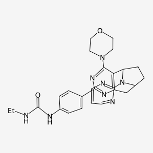 CCNC(=O)Nc1ccc(-c2nc3c(c(N4CCOCC4)n2)C2CCC(C3)N2c2ncccn2)cc1